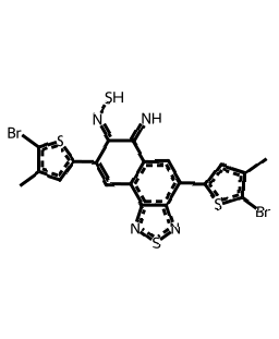 Cc1cc(C2=Cc3c(cc(-c4cc(C)c(Br)s4)c4nsnc34)C(=N)/C2=N\S)sc1Br